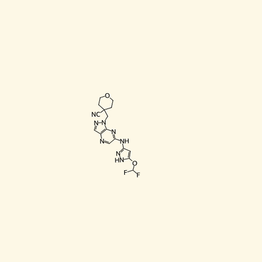 N#CC1(Cn2ncc3ncc(Nc4cc(OC(F)F)[nH]n4)nc32)CCOCC1